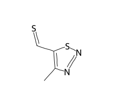 Cc1nnsc1C=S